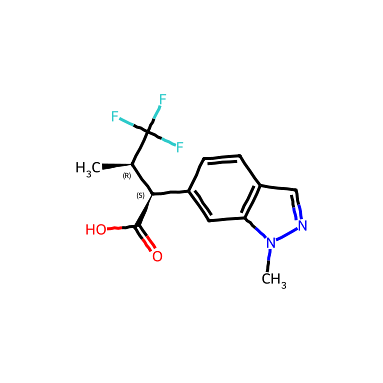 C[C@H]([C@H](C(=O)O)c1ccc2cnn(C)c2c1)C(F)(F)F